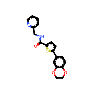 O=C(NCc1ccccn1)c1ccc(-c2ccc3c(c2)OCCO3)s1